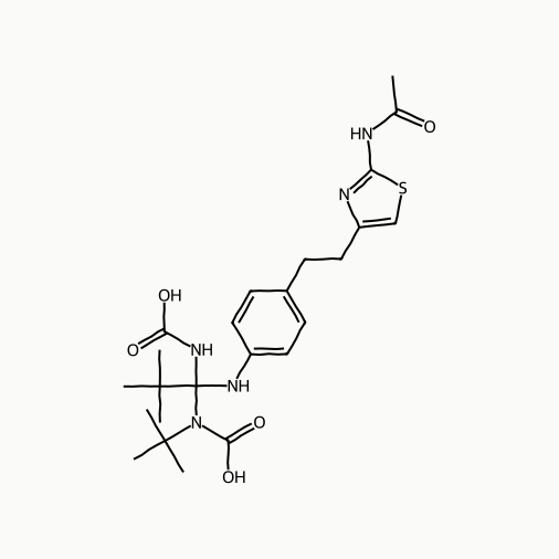 CC(=O)Nc1nc(CCc2ccc(NC(NC(=O)O)(N(C(=O)O)C(C)(C)C)C(C)(C)C)cc2)cs1